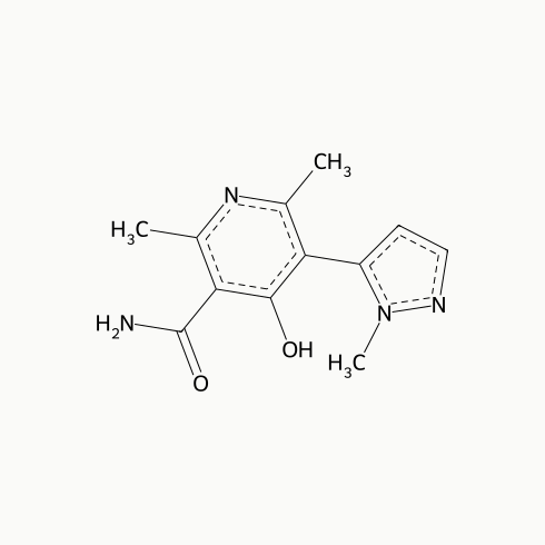 Cc1nc(C)c(-c2ccnn2C)c(O)c1C(N)=O